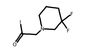 O=C(I)CN1CCCC(F)(F)C1